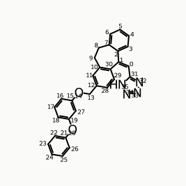 C(=C1c2ccccc2CCc2cc(COc3cccc(Oc4ccccc4)c3)ccc21)c1nnn[nH]1